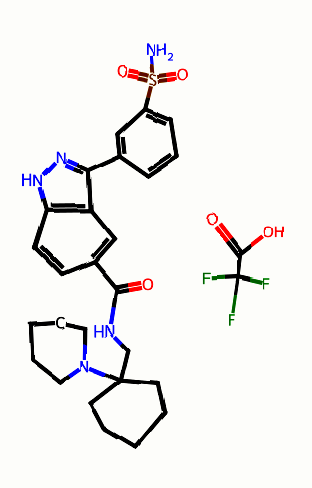 NS(=O)(=O)c1cccc(-c2n[nH]c3ccc(C(=O)NCC4(N5CCCCC5)CCCCC4)cc23)c1.O=C(O)C(F)(F)F